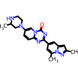 Cc1cc2cc(-c3nc(=O)n4cc(N5CCNC(C)C5)ccc4n3)cc(C)n2n1